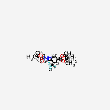 CC(C)(C)OC(=O)NCc1ccc(B2OC(C)(C)C(C)(C)O2)cc1C(F)(F)F